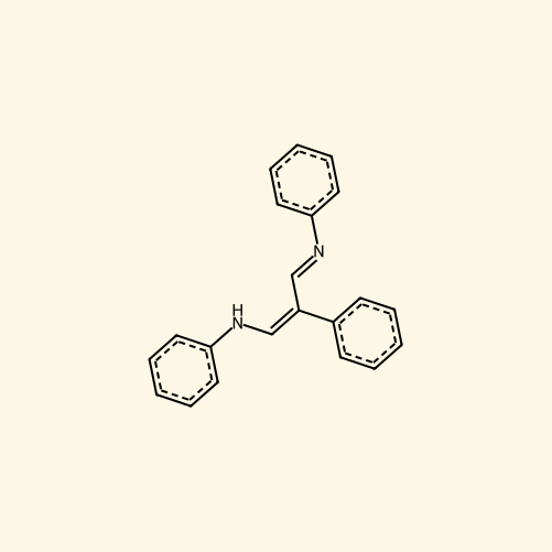 C(/Nc1ccccc1)=C(/C=N/c1ccccc1)c1ccccc1